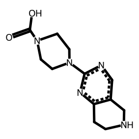 O=C(O)N1CCN(c2ncc3c(n2)CCNC3)CC1